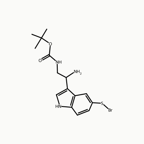 CC(C)(C)OC(=O)NCC(N)c1c[nH]c2ccc(SBr)cc12